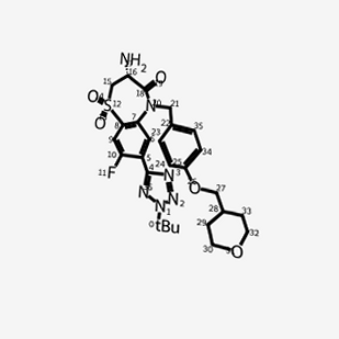 CC(C)(C)n1nnc(-c2cc3c(cc2F)S(=O)(=O)C[C@H](N)C(=O)N3Cc2ccc(OCC3CCOCC3)cc2)n1